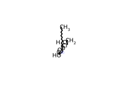 C=C(C)CCl.CCCCCCCCCCCCOC(=O)/C=C\C(=O)O